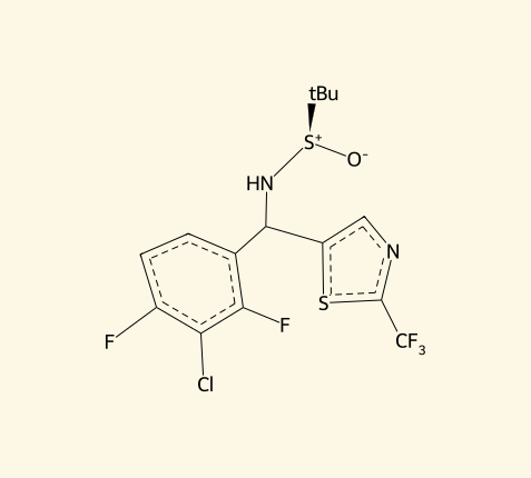 CC(C)(C)[S@@+]([O-])NC(c1cnc(C(F)(F)F)s1)c1ccc(F)c(Cl)c1F